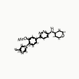 COc1cc(-c2ccc(NC3CCOCC3)nn2)ccc1-n1cnc(C)c1